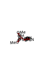 COc1ccc(COO/C=N\CCCN(CCCCNC(=O)OCc2ccc(OC)cc2)CCCOc2ccc3sc(S(=O)(=O)NCP(=O)(O)Oc4ccc(C#N)c(F)c4)c(C)c3c2)cc1